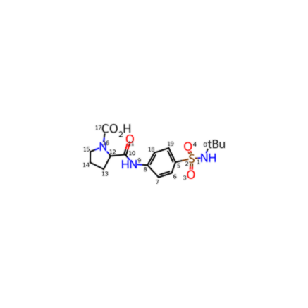 CC(C)(C)NS(=O)(=O)c1ccc(NC(=O)C2CCCN2C(=O)O)cc1